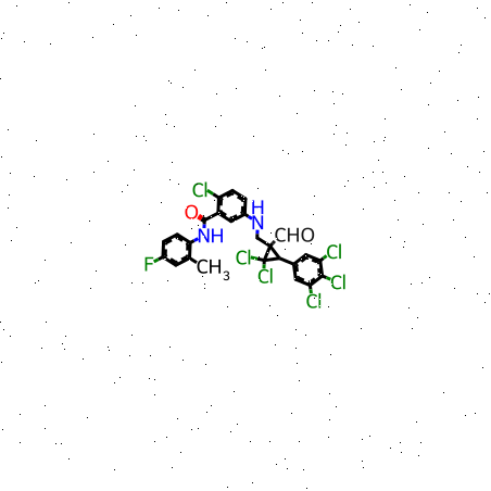 Cc1cc(F)ccc1NC(=O)c1cc(NCC2(C=O)C(c3cc(Cl)c(Cl)c(Cl)c3)C2(Cl)Cl)ccc1Cl